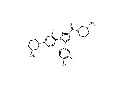 CC1CCCN(c2ccc(-n3nc(C(=O)N4CCC[C@@H](N)C4)cc3-c3ccc(C#N)c(F)c3)c(F)c2)C1